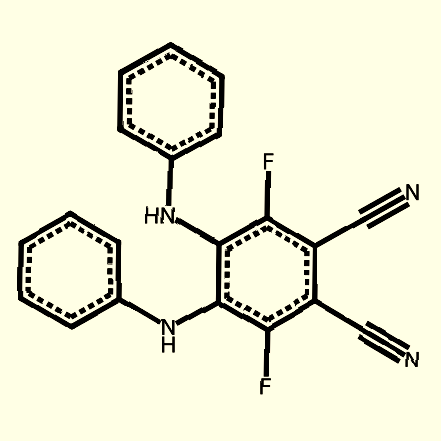 N#Cc1c(F)c(Nc2ccccc2)c(Nc2ccccc2)c(F)c1C#N